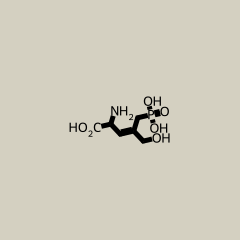 NC(C=C(CO)CP(=O)(O)O)C(=O)O